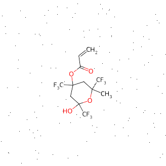 C=CC(=O)OC1(C(F)(F)F)CC(C)(C(F)(F)F)OC(O)(C(F)(F)F)C1